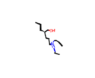 CCC[C@@H](CO)CCCN(CC)CC